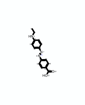 CCNc1ccc(/N=N/c2ccc(C(=O)O)cc2)cc1